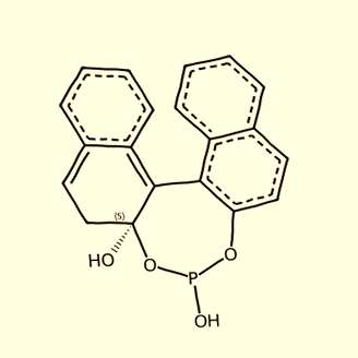 OP1Oc2ccc3ccccc3c2C2=c3ccccc3=CC[C@]2(O)O1